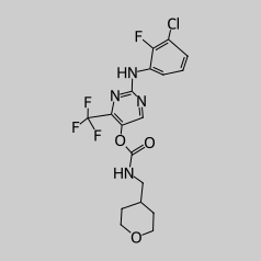 O=C(NCC1CCOCC1)Oc1cnc(Nc2cccc(Cl)c2F)nc1C(F)(F)F